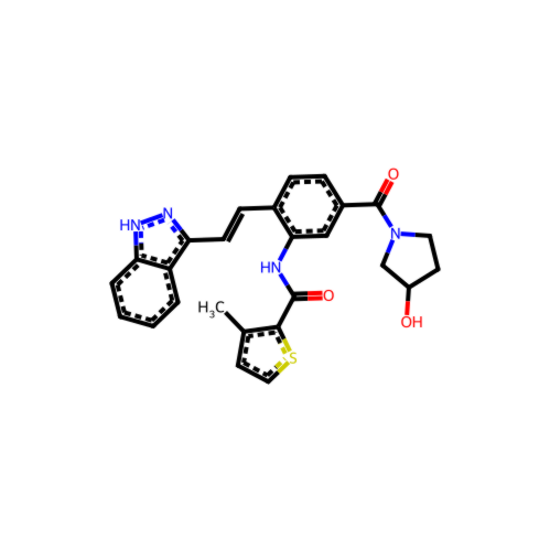 Cc1ccsc1C(=O)Nc1cc(C(=O)N2CCC(O)C2)ccc1/C=C/c1n[nH]c2ccccc12